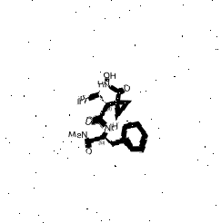 CNC(=O)[C@H](Cc1ccccc1)NC(=O)[C@H](CC(C)C)C1(C(=O)NO)CC1